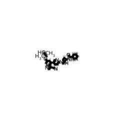 CC(C)(O)COc1cc(-c2ccc(N3C[C@@H]4C3C[C@@H]4NC(=O)c3ccccc3)nc2)c2c(C#N)cnn2c1